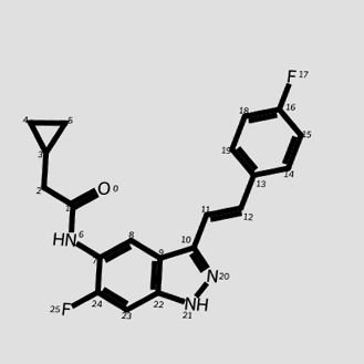 O=C(CC1CC1)Nc1cc2c(/C=C/c3ccc(F)cc3)n[nH]c2cc1F